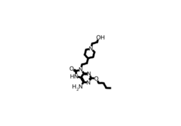 CCCCOc1nc(N)c2[nH]c(=O)n(CCC3CCN(CCO)CC3)c2n1